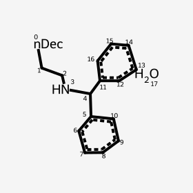 CCCCCCCCCCCCNC(c1ccccc1)c1ccccc1.O